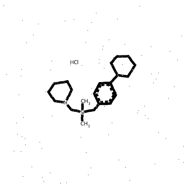 C[Si](C)(Cc1ccc(C2CCCCC2)cc1)CN1CCCCC1.Cl